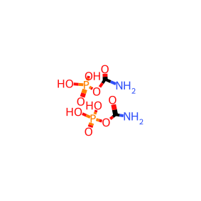 NC(=O)OP(=O)(O)O.NC(=O)OP(=O)(O)O